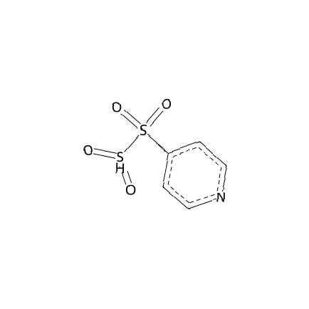 O=[SH](=O)S(=O)(=O)c1ccncc1